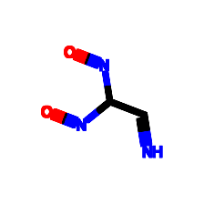 N=CC(N=O)N=O